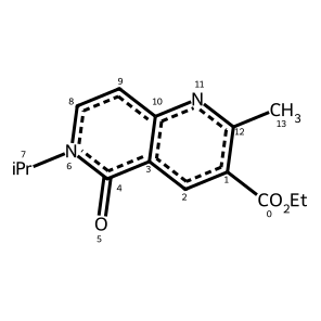 CCOC(=O)c1cc2c(=O)n(C(C)C)ccc2nc1C